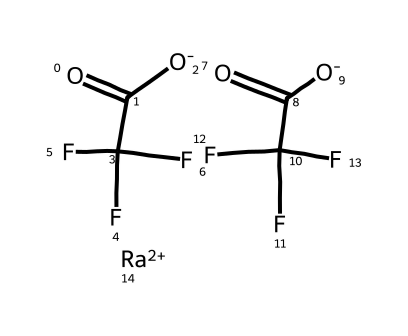 O=C([O-])C(F)(F)F.O=C([O-])C(F)(F)F.[Ra+2]